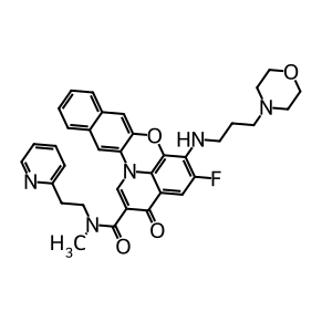 CN(CCc1ccccn1)C(=O)c1cn2c3c(c(NCCCN4CCOCC4)c(F)cc3c1=O)Oc1cc3ccccc3cc1-2